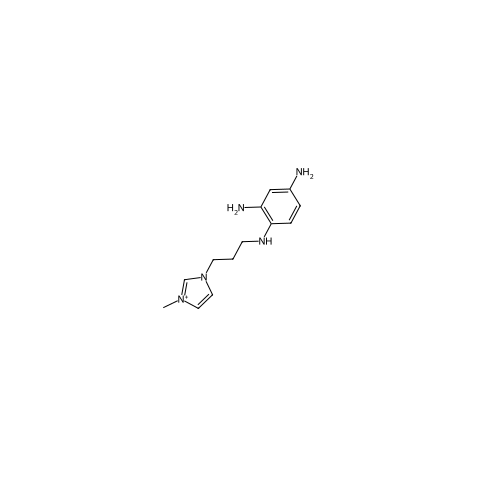 C[n+]1ccn(CCCNc2ccc(N)cc2N)c1